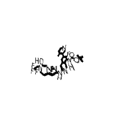 Cc1ccncc1-c1cc2cc(Nc3cc4n(n3)CC(O)N(CC(F)(F)F)CC4)ncc2c(NC(=O)OC(C)(C)C)c1F